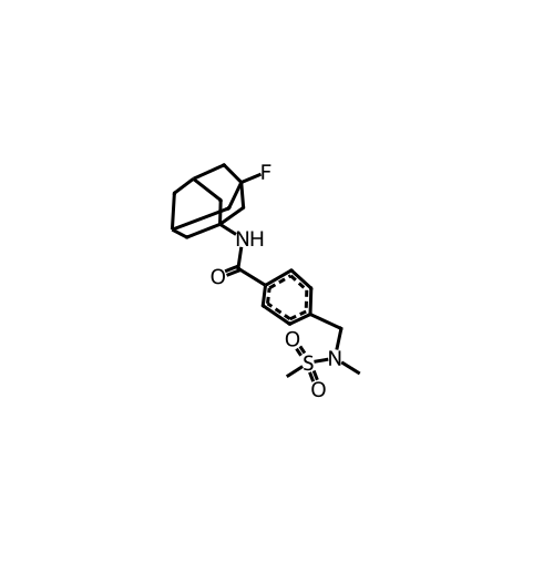 CN(Cc1ccc(C(=O)NC23CC4CC(CC(F)(C4)C2)C3)cc1)S(C)(=O)=O